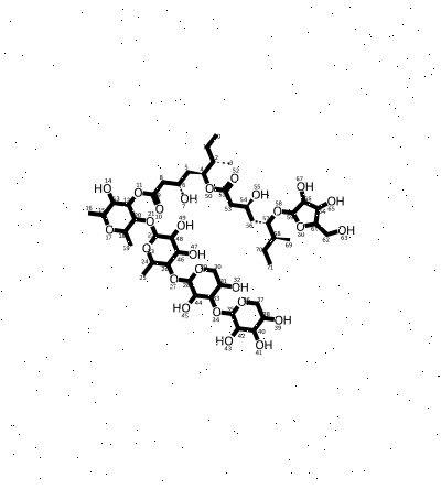 CC[C@H](C)[C@H](C[C@H](O)CC(=O)OC1C(O)C(C)OC(C)C1OC1OC(C)C(OC2OCC(O)C(OC3OCC(O)C(O)C3O)C2O)C(O)C1O)OC(=O)C[C@@H](O)C[C@H](OC1OC(CO)C(O)C1O)[C@@H](C)CC